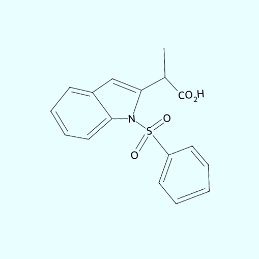 CC(C(=O)O)c1cc2ccccc2n1S(=O)(=O)c1ccccc1